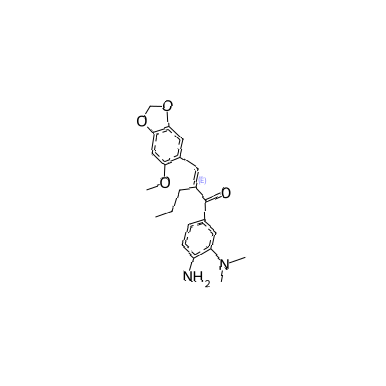 CCC/C(=C\c1cc2c(cc1OC)OCO2)C(=O)c1ccc(N)c(N(C)C)c1